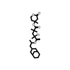 C=C(OC(C)CC1CC2CCCC(C2)C1)C(C)(CC)CC(C)(C)C(=O)OC1(C)CCOC(=O)C1